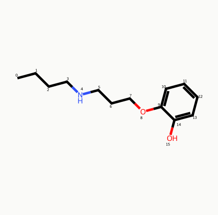 CCCCNCCCOc1ccccc1O